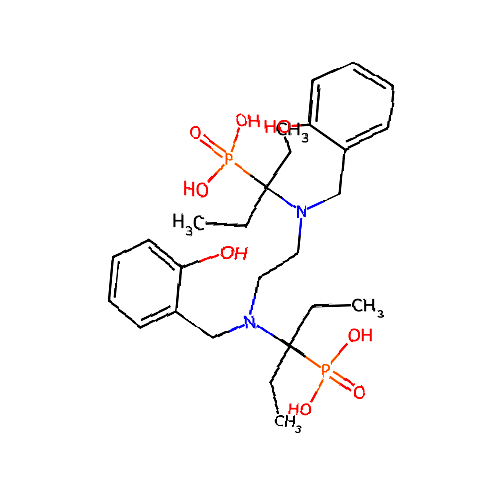 CCC(CC)(N(CCN(Cc1ccccc1O)C(CC)(CC)P(=O)(O)O)Cc1ccccc1O)P(=O)(O)O